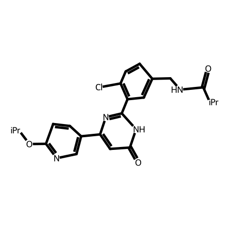 CC(C)Oc1ccc(-c2cc(=O)[nH]c(-c3cc(CNC(=O)C(C)C)ccc3Cl)n2)cn1